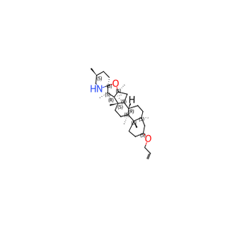 C=CCO[C@H]1CC[C@@]2(C)[C@@](C)(CC[C@@H]3[C@]2(C)CC[C@]2(C)[C@@]4(C)[C@H](C)[C@]5(CC[C@H](C)CN5)O[C@@]4(C)C[C@@]32C)C1